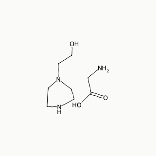 NCC(=O)O.OCCN1CCNCC1